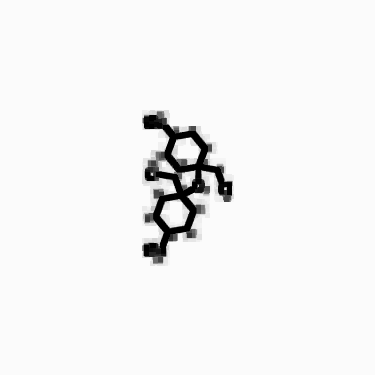 CC(C)(C)C1CCC(CCl)(OC2(CCl)CCC(C(C)(C)C)CC2)CC1